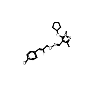 Cc1nn(C)c(OC2CCCC2)c1C=NOCC(F)=Cc1ccc(Cl)cc1